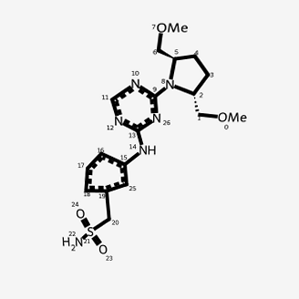 COC[C@H]1CC[C@H](COC)N1c1ncnc(Nc2cccc(CS(N)(=O)=O)c2)n1